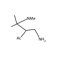 CNC(C)(C)C(CN)C(C)=O